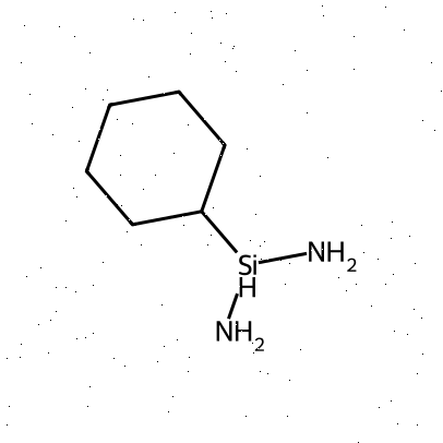 N[SiH](N)C1CCCCC1